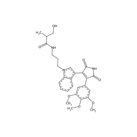 COc1cc(C2=C(c3cn(CCCNC(=O)C(C)CO)c4ccccc34)C(=O)NC2=O)cc(OC)c1OC